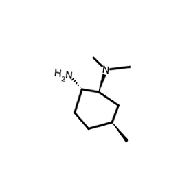 C[C@H]1CC[C@H](N)[C@@H](N(C)C)C1